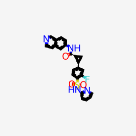 O=C(Nc1ccc2cnccc2c1)[C@@H]1C[C@H]1c1ccc(S(=O)(=O)Nc2ccccn2)c(F)c1